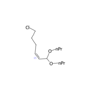 CCCOC(/C=C\CCCCl)OCCC